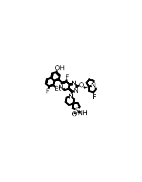 CCc1c(F)ccc2cc(O)cc(-c3ncc4c(N5CCCC6(CCS(=N)(=O)C6)C5)nc(OC[C@@]56CCCN5C[C@H](F)C6)nc4c3F)c12